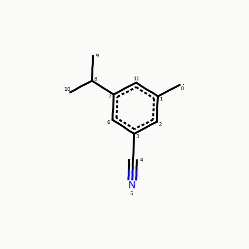 [CH2]c1cc(C#N)cc(C(C)C)c1